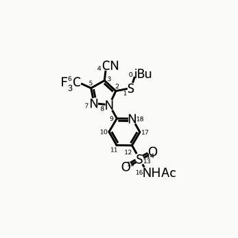 CCC(C)Sc1c(C#N)c(C(F)(F)F)nn1-c1ccc(S(=O)(=O)NC(C)=O)cn1